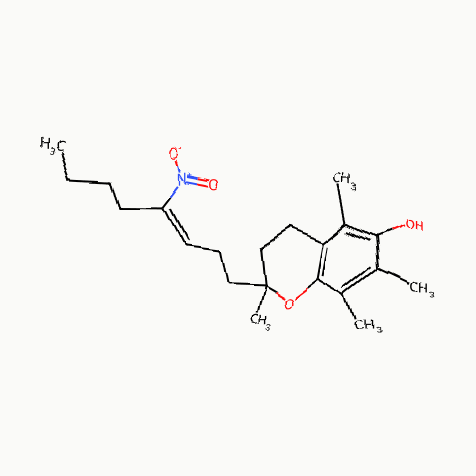 CCCC/C(=C/CCC1(C)CCc2c(C)c(O)c(C)c(C)c2O1)[N+](=O)[O-]